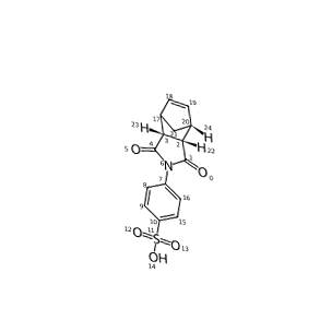 O=C1[C@@H]2[C@H](C(=O)N1c1ccc(S(=O)(=O)O)cc1)C1C=C[C@H]2C1